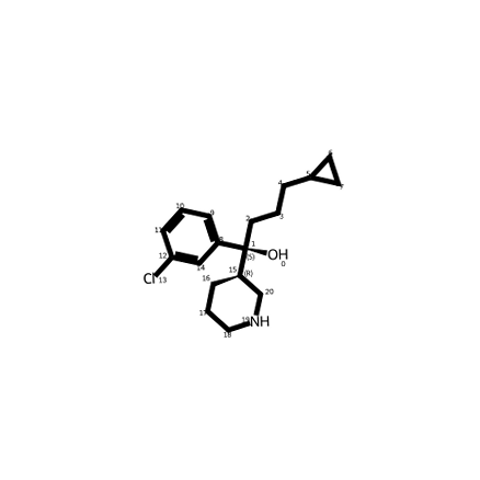 O[C@](CCCC1CC1)(c1cccc(Cl)c1)[C@@H]1CCCNC1